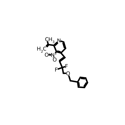 C=C(C)c1nccc(C=CC(F)(F)COCc2ccccc2)c1[N+](=O)[O-]